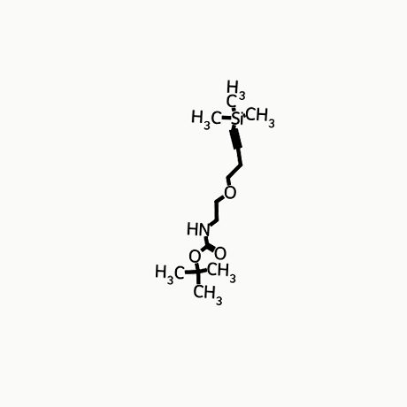 CC(C)(C)OC(=O)NCCOCCC#C[Si](C)(C)C